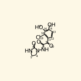 O=C(NN1CCNC1=O)C(=O)c1ccc(O)c(O)c1Cl